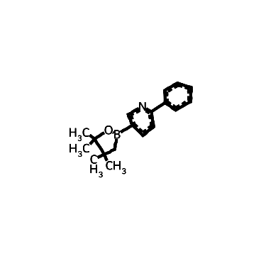 CC1(C)CB(c2ccc(-c3ccccc3)nc2)OC1(C)C